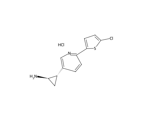 Cl.N[C@@H]1C[C@H]1c1ccc(-c2ccc(Cl)s2)nc1